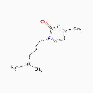 Cc1ccn(CCCN(C)C)c(=O)c1